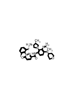 C=Nc1c(N(C)C2CCOCC2)ccc(NC(=O)c2ccc(=O)n(-c3c(F)cccc3F)n2)c1N1C[C@@H](C)[C@@H](N)C1